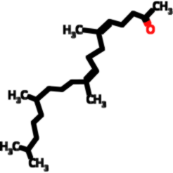 CC(=O)CCC=C(C)CCC=C(C)CCCC(C)CCCC(C)C